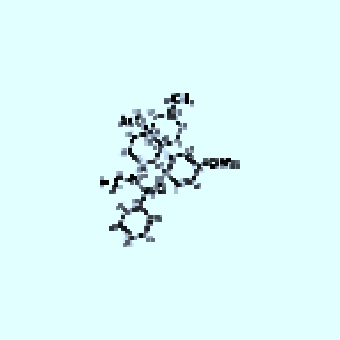 COc1cccc([C@@]23CCN(C)C[C@@]2(OC(C)=O)CC[C@@H](N(C)C(=O)c2ccccc2)C3)c1